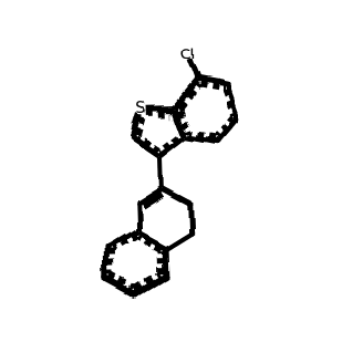 Clc1cccc2c(C3=Cc4ccccc4CC3)csc12